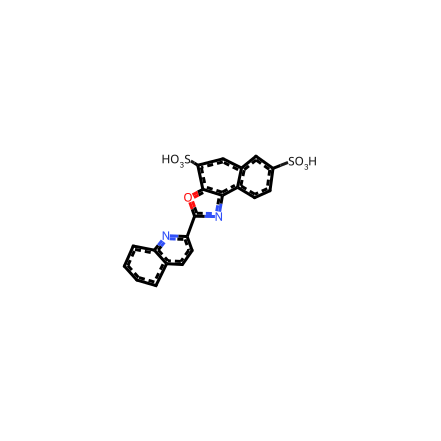 O=S(=O)(O)c1ccc2c(c1)cc(S(=O)(=O)O)c1oc(-c3ccc4ccccc4n3)nc12